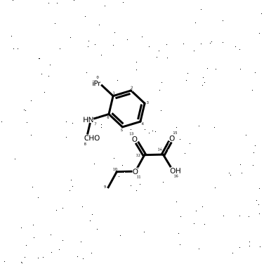 CC(C)c1ccccc1NC=O.CCOC(=O)C(=O)O